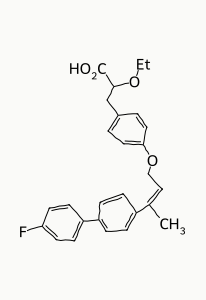 CCOC(Cc1ccc(OCC=C(C)c2ccc(-c3ccc(F)cc3)cc2)cc1)C(=O)O